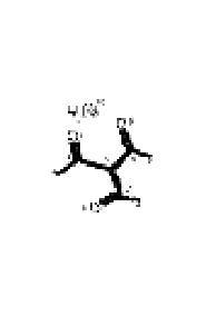 CC(=O)C(C(C)=O)C(C)=O.[BaH2]